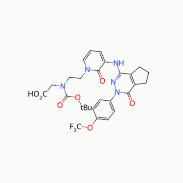 CC(C)(C)OC(=O)N(CCn1cccc(Nc2nn(-c3ccc(OC(F)(F)F)cc3)c(=O)c3c2CCC3)c1=O)CC(=O)O